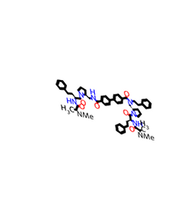 CN[C@@H](C)C(=O)N[C@@H](CCc1ccccc1)C(=O)N1CCC[C@H]1CNC(=O)c1ccc(-c2ccc(C(=O)N(CCc3ccccc3)C[C@@H]3CCCN3C(=O)[C@H](CCc3ccccc3)NC(=O)[C@H](C)NC)cc2)cc1